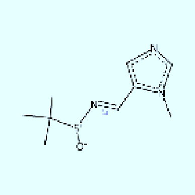 Cn1cncc1/C=N/[S+]([O-])C(C)(C)C